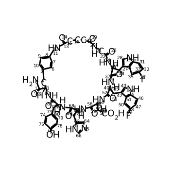 NC(=O)[C@@H]1Cc2ccc(cc2)CNC(=O)CCCC(=O)NCC(=O)N[C@@H](Cc2c[nH]c3ccc(F)cc23)C(=O)N[C@@H](Cc2c[nH]c3ccc(F)cc23)C(=O)N[C@@H](CC(=O)O)C(=O)N[C@@H](Cc2cnc[nH]2)C(=O)N[C@@H](Cc2ccc(O)cc2)C(=O)N1